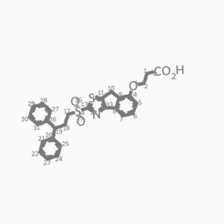 O=C(O)CCOc1cccc2c1Cc1sc(S(=O)(=O)CCC(c3ccccc3)c3ccccc3)nc1-2